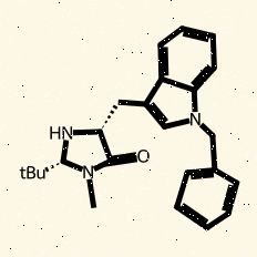 CN1C(=O)[C@@H](Cc2cn(Cc3ccccc3)c3ccccc23)N[C@H]1C(C)(C)C